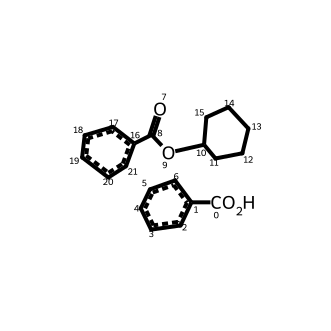 O=C(O)c1ccccc1.O=C(OC1CCCCC1)c1ccccc1